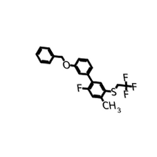 Cc1cc(F)c(-c2cccc(OCc3ccccc3)c2)cc1SCC(F)(F)F